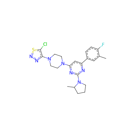 Cc1cc(-c2cc(N3CCN(c4nnsc4Cl)CC3)nc(N3CCCC3C)n2)ccc1F